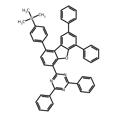 C[Si](C)(C)c1ccc(-c2ccc(-c3nc(-c4ccccc4)nc(-c4ccccc4)n3)c3oc4c(-c5ccccc5)cc(-c5ccccc5)cc4c23)cc1